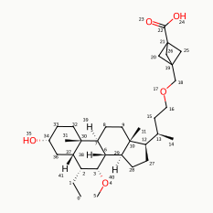 CC[C@H]1[C@@H](OC)[C@@H]2[C@H](CC[C@]3(C)[C@@H]([C@H](C)CCOCC45CC(C(=O)O)(C4)C5)CC[C@@H]23)[C@@]2(C)CC[C@@H](O)C[C@@H]12